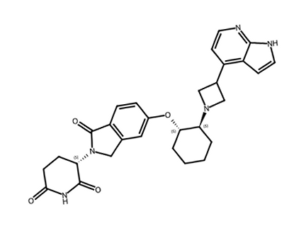 O=C1CC[C@H](N2Cc3cc(O[C@H]4CCCC[C@@H]4N4CC(c5ccnc6[nH]ccc56)C4)ccc3C2=O)C(=O)N1